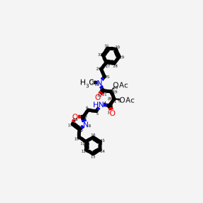 CC(=O)O[C@@H](C(=O)NCCc1nc(Cc2ccccc2)co1)[C@@H](OC(C)=O)C(=O)N(C)CCc1ccccc1